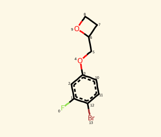 Fc1cc(OCC2CCO2)ccc1Br